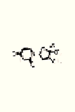 CC[C@@]1(C(F)(F)F)O[C@@H](n2ccc(=O)[nH]c2=O)C[C@@H]1C